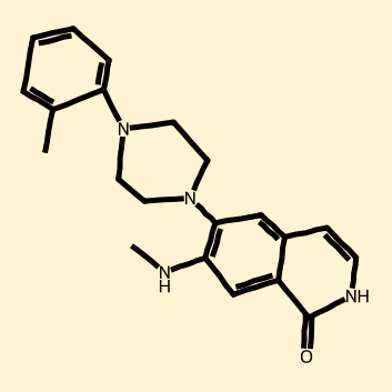 CNc1cc2c(=O)[nH]ccc2cc1N1CCN(c2ccccc2C)CC1